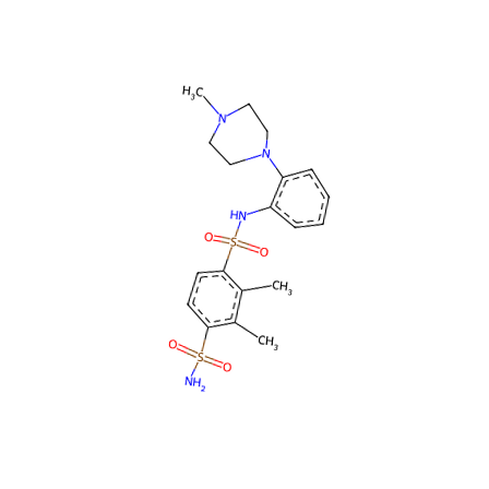 Cc1c(S(N)(=O)=O)ccc(S(=O)(=O)Nc2ccccc2N2CCN(C)CC2)c1C